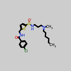 CCCCCCN(C)CCCN[S+]([O-])c1ccc(CNC(=O)c2ccc(Cl)cc2)s1